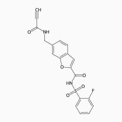 C#CC(=O)NCc1ccc2cc(C(=O)NS(=O)(=O)c3ccccc3F)oc2c1